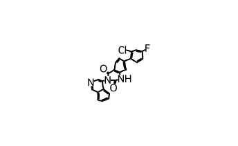 O=c1[nH]c2cc(-c3ccc(F)cc3Cl)ccc2c(=O)n1-c1cncc2ccccc12